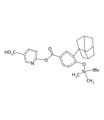 CC(C)(C)[Si](C)(C)Oc1ccc(C(=O)Oc2ccc(C(=O)O)cn2)cc1C12CC3CC(CC(C3)C1)C2